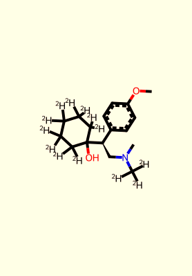 [2H]C([2H])([2H])N(C)C[C@H](c1ccc(OC)cc1)C1(O)C([2H])([2H])C([2H])([2H])C([2H])([2H])C([2H])([2H])C1([2H])[2H]